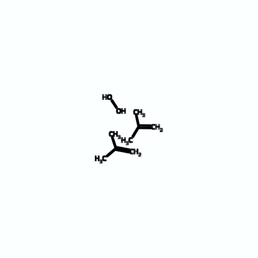 C=C(C)C.C=C(C)C.OO